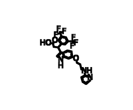 O=C(O)CC(c1cc(C(F)(F)F)cc(C(F)(F)F)c1)c1c[nH]c2cc(OCCCNc3ccccn3)ccc12